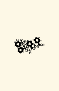 C[N+](C)(C)c1ccccc1.C[N+](C)(C)c1ccccc1.O=C(O)c1ccccc1[S+]([O-])c1ccccc1C(=O)O